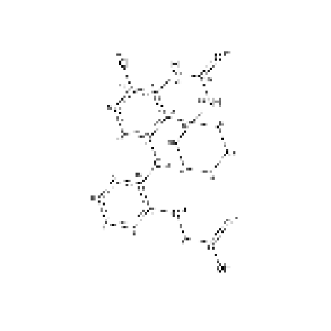 O=C(O)COc1ccccc1Oc1ccc(Cl)c2c1C1(CCCCC1)NC(=O)N2